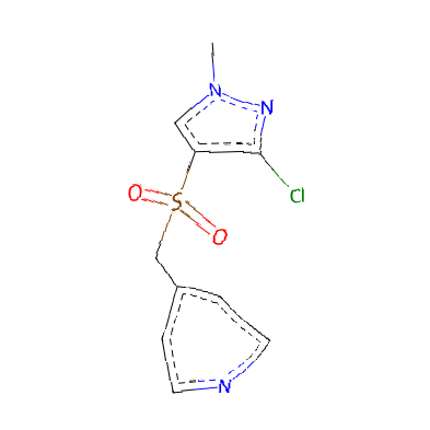 Cn1cc(S(=O)(=O)Cc2ccncc2)c(Cl)n1